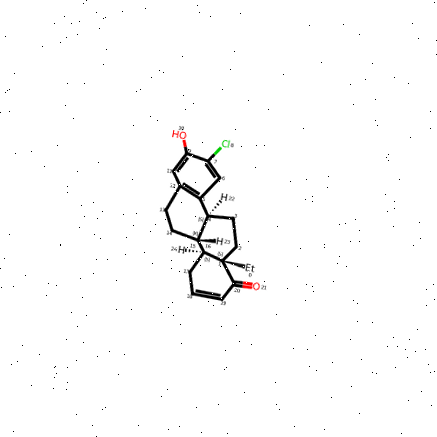 CC[C@]12CC[C@@H]3c4cc(Cl)c(O)cc4CC[C@H]3[C@@H]1CC=CC2=O